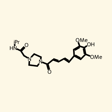 COc1cc(C=CC=CC(=O)N2CCN(CC(=O)NC(C)C)CC2)cc(OC)c1O